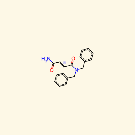 NC(=O)/C=C/C(=O)N(Cc1ccccc1)Cc1ccccc1